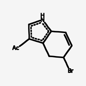 CC(=O)c1c[nH]c2c1CC(Br)C=C2